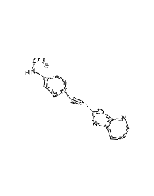 CNc1ccc(C#Cc2nc3cccnc3o2)cc1